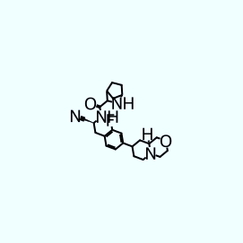 N#C[C@H](Cc1ccc(C2CCN3CCOC[C@H]3C2)cc1F)NC(=O)C1NC2CCC1C2